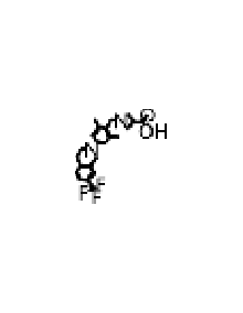 Cc1cc(N2CCc3ccc(C(F)(F)F)cc3C2)cc(C)c1CN1CC(C(=O)O)C1